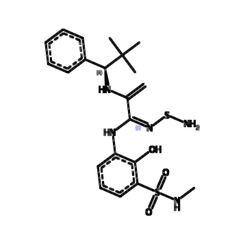 C=C(N[C@@H](c1ccccc1)C(C)(C)C)/C(=N\SN)Nc1cccc(S(=O)(=O)NC)c1O